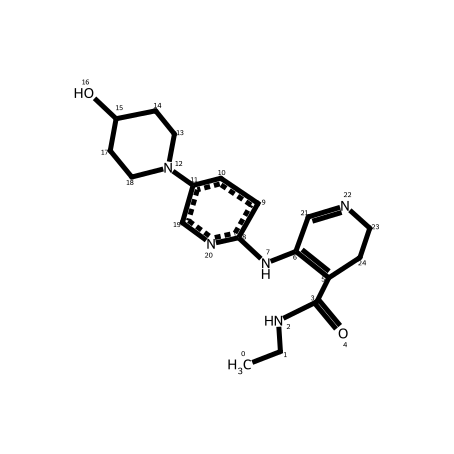 CCNC(=O)C1=C(Nc2ccc(N3CCC(O)CC3)cn2)C=NCC1